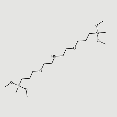 CO[Si](C)(CCCOCCNCCOCCC[Si](C)(OC)OC)OC